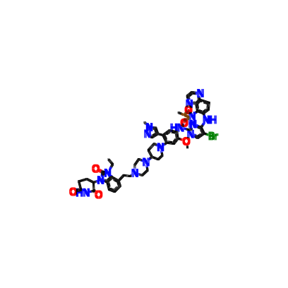 CCn1c(=O)n(C2CCC(=O)NC2=O)c2cccc(CCN3CCN(C4CCN(c5cc(OC)c(Nc6ncc(Br)c(Nc7ccc8nccnc8c7NS(C)(=O)=O)n6)cc5-c5cnn(C)c5)CC4)CC3)c21